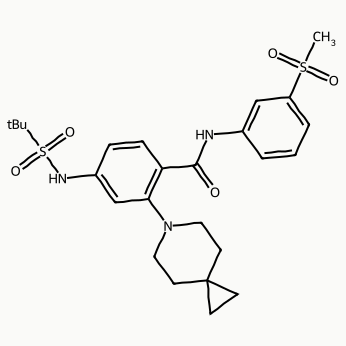 CC(C)(C)S(=O)(=O)Nc1ccc(C(=O)Nc2cccc(S(C)(=O)=O)c2)c(N2CCC3(CC2)CC3)c1